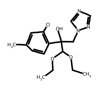 CCOC(OCC)C(O)(Cn1cncn1)c1ccc(C)cc1Cl